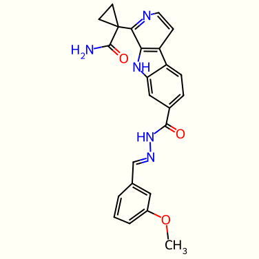 COc1cccc(C=NNC(=O)c2ccc3c(c2)[nH]c2c(C4(C(N)=O)CC4)nccc23)c1